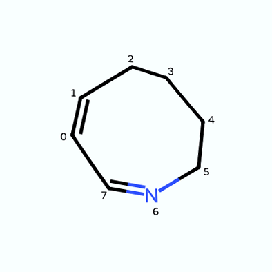 C1=CCCCCN=C1